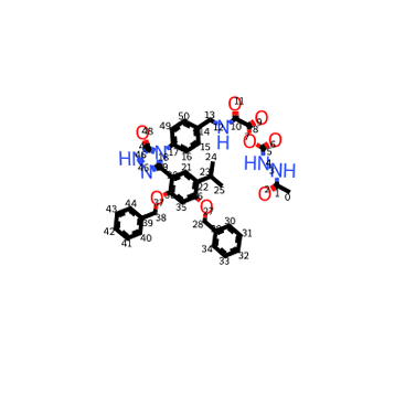 CC(=O)NNC(=O)OC(=O)C(=O)NCc1ccc(-n2c(-c3cc(C(C)C)c(OCc4ccccc4)cc3OCc3ccccc3)n[nH]c2=O)cc1